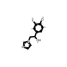 OC(Cn1ccnc1)c1ccc(Cl)c(F)c1